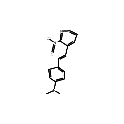 CN(C)c1ccc(C=Cc2cccnc2[N+](=O)[O-])cc1